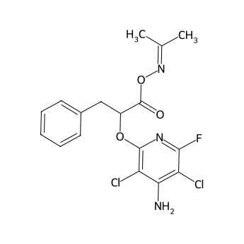 CC(C)=NOC(=O)C(Cc1ccccc1)Oc1nc(F)c(Cl)c(N)c1Cl